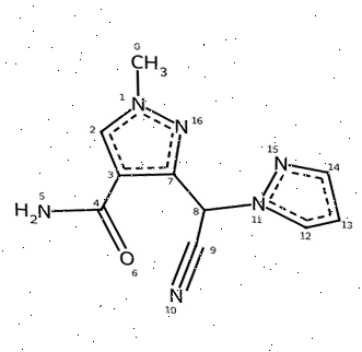 Cn1cc(C(N)=O)c(C(C#N)n2cccn2)n1